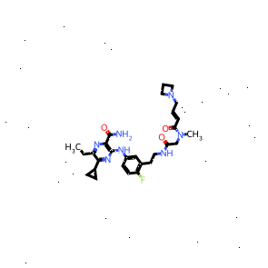 CCc1nc(C(N)=O)c(Nc2ccc(F)c(CCNC(=O)CN(C)C(=O)C=CCN3CCC3)c2)nc1C1CC1